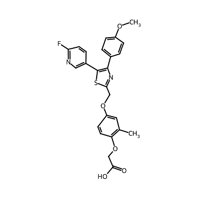 COc1ccc(-c2nc(COc3ccc(OCC(=O)O)c(C)c3)sc2-c2ccc(F)nc2)cc1